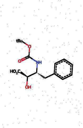 CC(C)(C)OC(=O)N[C@H](Cc1ccccc1)[C@@H](O)C(=O)O